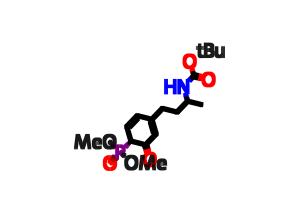 COP(=O)(OC)[C@H]1C=CC(CCC(C)NC(=O)OC(C)(C)C)=CC1=O